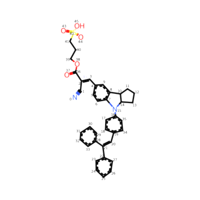 N#C/C(=C\c1ccc2c(c1)C1CCCC1N2c1ccc(C=C(c2ccccc2)c2ccccc2)cc1)C(=O)OCCCS(=O)(=O)O